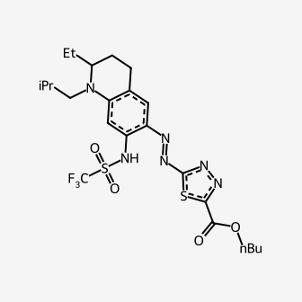 CCCCOC(=O)c1nnc(N=Nc2cc3c(cc2NS(=O)(=O)C(F)(F)F)N(CC(C)C)C(CC)CC3)s1